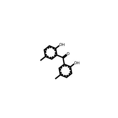 Cc1ccc(O)c(C(=O)c2cc(C)ccc2O)c1